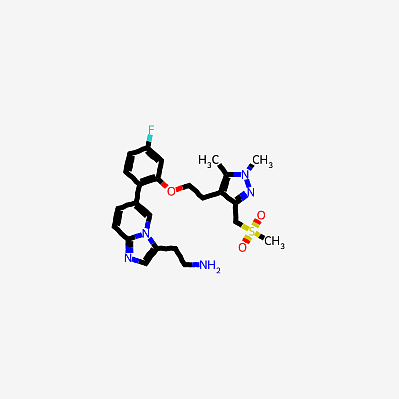 Cc1c(CCOc2cc(F)ccc2-c2ccc3ncc(CCN)n3c2)c(CS(C)(=O)=O)nn1C